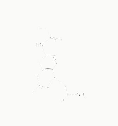 CC(=O)Nc1ccc2c(CC(N)=O)cc(=O)oc2c1